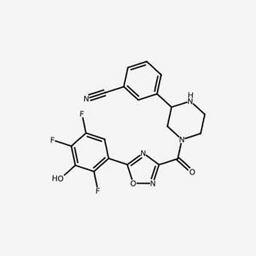 N#Cc1cccc(C2CN(C(=O)c3noc(-c4cc(F)c(F)c(O)c4F)n3)CCN2)c1